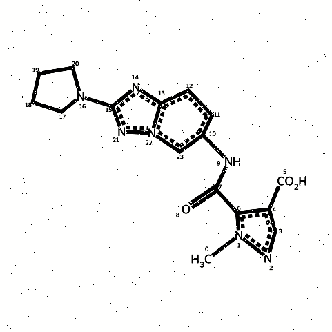 Cn1ncc(C(=O)O)c1C(=O)Nc1ccc2nc(N3CCCC3)nn2c1